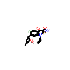 COc1cc(C)ccc1-c1cc2c(cc1F)c(=O)c1c(=O)[nH]sc1n2C1CC1